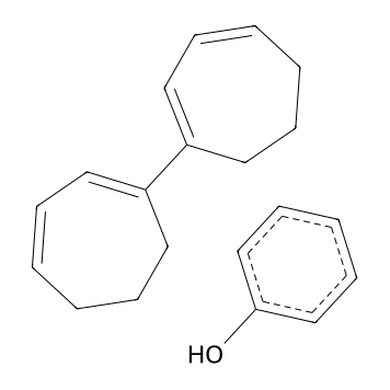 C1=CCCCC(C2=CC=CCCC2)=C1.Oc1ccccc1